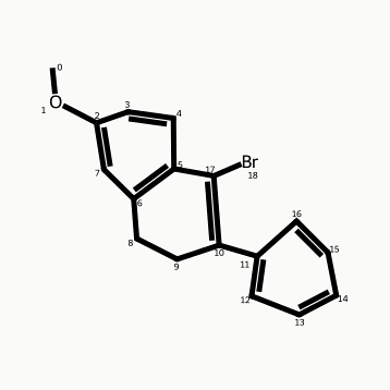 COc1ccc2c(c1)CCC(c1ccccc1)=C2Br